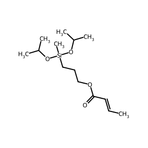 CC=CC(=O)OCCC[Si](C)(OC(C)C)OC(C)C